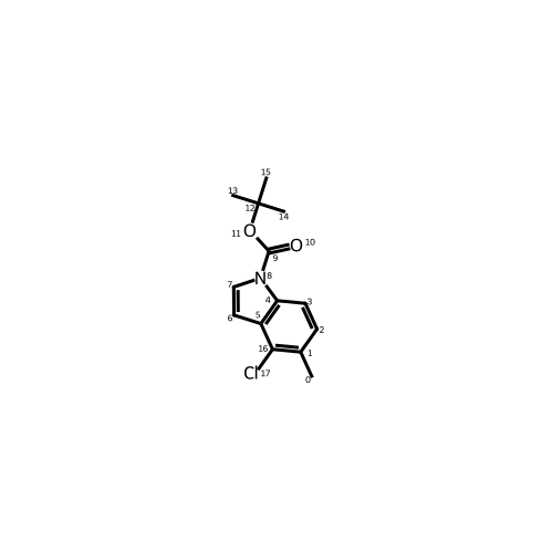 Cc1ccc2c(ccn2C(=O)OC(C)(C)C)c1Cl